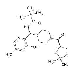 Cc1ccc(C(N[S@@+]([O-])C(C)(C)C)C2CCN(C(=O)[C@H]3COC(C)(C)O3)CC2)c(O)c1